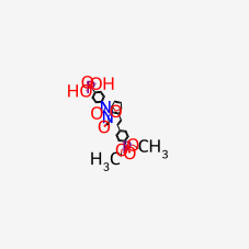 CCOP(=O)(OCC)c1ccc(C=CC2=C([N]C=O)C3(N(C=O)c4ccc(P(=O)(O)O)cc4)C=CC2O3)cc1